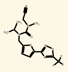 CC(C)N(Cc1ccc(-c2noc(C(F)(F)F)n2)s1)C(=O)N(C)CC#N